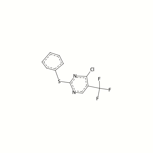 FC(F)(F)c1cnc(Sc2ccccc2)nc1Cl